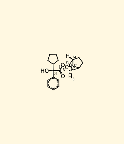 C[N+]1(C)C2CC[C@H]1[C@@H](OC(=O)[C@](O)(c1ccccc1)C1CCCC1)C2